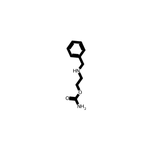 NC(=O)OCCNCc1ccccc1